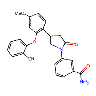 COc1ccc(C2CC(=O)N(c3cccc(C(N)=O)c3)C2)c(Oc2ccccc2C#N)c1